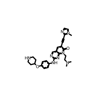 CN(C)CCn1c(=O)c(C#Cc2nccn2C)cc2cnc(Nc3ccc(OC4CCNCC4)cc3)nc21